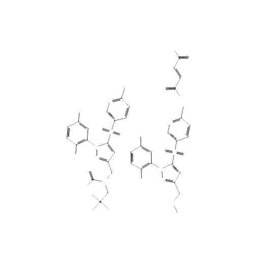 CNCc1cc(S(=O)(=O)c2ccc(C)nc2)n(-c2cc(F)ccc2F)n1.Cc1ccc(S(=O)(=O)c2cc(CN(CC(C)(C)C)C(=O)O)nn2-c2cc(F)ccc2F)cn1.O=C(O)C=CC(=O)O